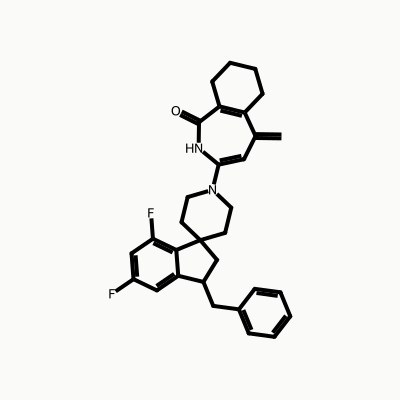 C=C1C=C(N2CCC3(CC2)CC(Cc2ccccc2)c2cc(F)cc(F)c23)NC(=O)C2=C1CCCC2